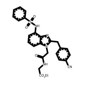 CCOC(=O)CNC(=O)Cn1c(Cc2ccc(C#N)cc2)nc2c(NS(=O)(=O)c3ccccc3)cccc21